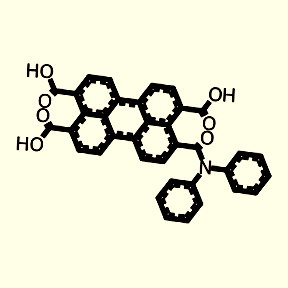 O=C(O)c1ccc2c3ccc(C(=O)O)c4c(C(=O)N(c5ccccc5)c5ccccc5)ccc(c5ccc(C(=O)O)c1c25)c43